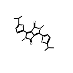 CC(C)c1ccc(C2=C3C(=O)N(C)C(c4ccc(C(C)C)s4)=C3C(=O)N2C)s1